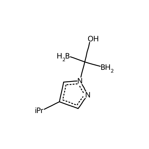 BC(B)(O)n1cc(C(C)C)cn1